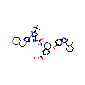 C[C@H]1CCCCN1c1nnc2ccc(O[C@@H]3CC[C@H](NC(=O)Nc4cc(C(C)(C)C)nn4-c4cnn(CCN5CCCOCC5)c4)c4ccccc43)cn12.O=CO